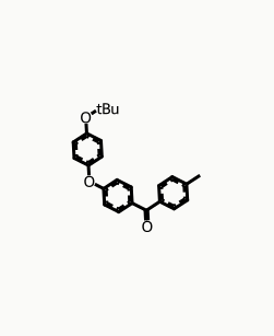 Cc1ccc(C(=O)c2ccc(Oc3ccc(OC(C)(C)C)cc3)cc2)cc1